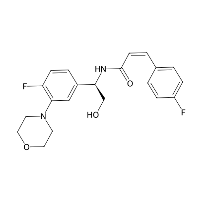 O=C(/C=C\c1ccc(F)cc1)N[C@@H](CO)c1ccc(F)c(N2CCOCC2)c1